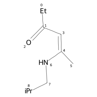 CCC(=O)/C=C(/C)NCC(C)C